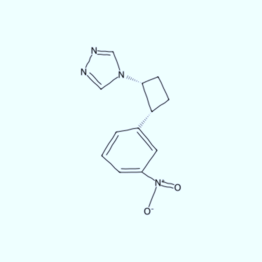 O=[N+]([O-])c1cccc([C@H]2CC[C@H]2n2cnnc2)c1